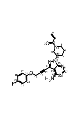 C=CC(=O)N1CCC[C@@H](n2nc(C#CCOc3ccc(F)cc3)c3c(N)ncnc32)C1